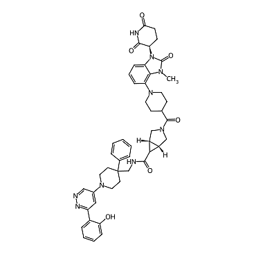 Cn1c(=O)n([C@@H]2CCC(=O)NC2=O)c2cccc(N3CCC(C(=O)N4C[C@@H]5C(C(=O)NCC6(c7ccccc7)CCN(c7cnnc(-c8ccccc8O)c7)CC6)[C@@H]5C4)CC3)c21